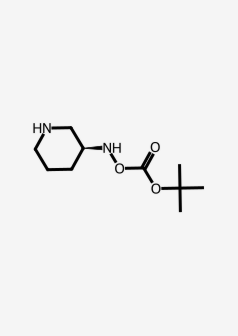 CC(C)(C)OC(=O)ON[C@H]1CCCNC1